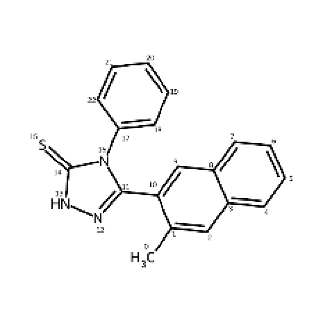 Cc1cc2ccccc2cc1-c1n[nH]c(=S)n1-c1ccccc1